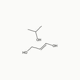 CC(C)O.OC=CCO